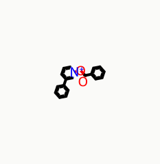 O=C(O[n+]1cccc(-c2ccccc2)c1)c1ccccc1